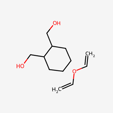 C=COC=C.OCC1CCCCC1CO